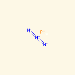 P.[N-]=[N+]=[N-]